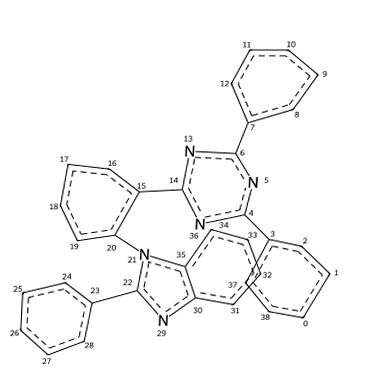 c1ccc(-c2nc(-c3ccccc3)nc(-c3ccccc3-n3c(-c4ccccc4)nc4ccccc43)n2)cc1